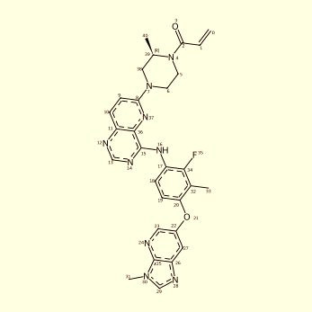 C=CC(=O)N1CCN(c2ccc3ncnc(Nc4ccc(Oc5cnc6c(c5)ncn6C)c(C)c4F)c3n2)C[C@H]1C